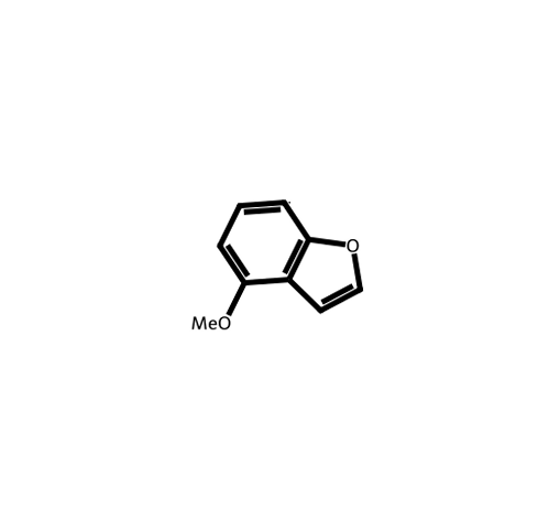 COc1cc[c]c2occc12